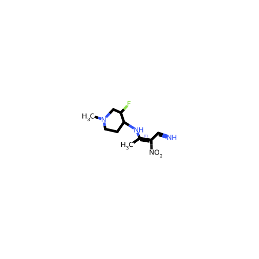 C/C(NC1CCN(C)CC1F)=C(/C=N)[N+](=O)[O-]